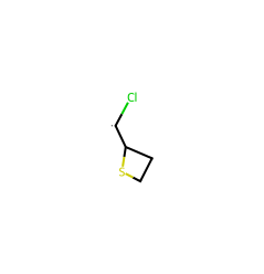 Cl[CH]C1CCS1